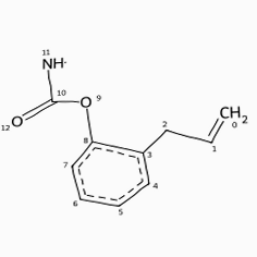 C=CCc1ccccc1OC([NH])=O